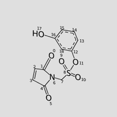 O=C1C=CC(=O)N1CS(=O)(=O)Oc1cccc(O)c1